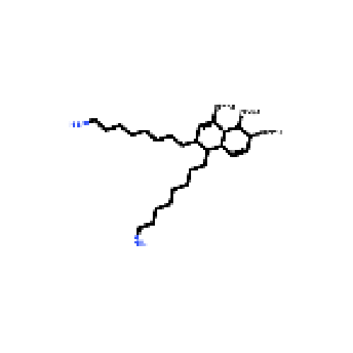 CCCCCC1=CC(CCCCCCCCN)C(CCCCCCCCN)C2C=CC(CCCCC)C(CCCCC)C12